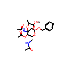 COC(=O)C(C)O[C@]1(NC(C)=O)C[C@@H](OCc2ccccc2)O[C@H](CNC(C)=O)[C@H]1OC(C)=O